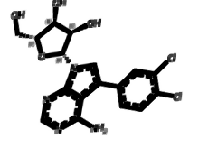 Nc1ncnc2c1c(-c1ccc(Cl)c(Cl)c1)cn2[C@@H]1O[C@H](CO)[C@@H](O)[C@H]1O